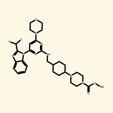 CC(C)(C)OC(=O)N1CCN(C2CCC(CNc3nc(N4CCOCC4)cc(-n4c(C(F)F)nc5ccccc54)n3)CC2)CC1